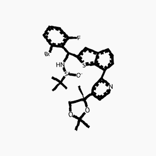 CC1(C)OC[C@](C)(c2ccnc(-c3cccc4cc(C(N[S+]([O-])C(C)(C)C)c5c(F)cccc5Br)sc34)c2)O1